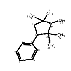 CC1(C)CC(c2ccccc2)C(C)(C)N1O